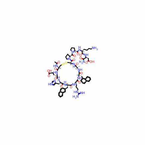 CC(=O)N[C@H]1CSSC[C@@H](C(=O)N2CCC[C@H]2C(=O)N2CCC[C@H]2C(=O)N[C@@H](CCCCN)C(=O)N[C@@H](CC(=O)O)C(N)=O)NC(=O)[C@H](C)NC(=O)[C@H](Cc2cccc3ccccc23)NC(=O)[C@H](CCCNC(=N)N)NC(=O)[C@@H](Cc2ccc3ccccc3c2)NC(=O)[C@H](Cc2c[nH]cn2)NC(=O)[C@H](CCC(=O)O)NC1=O